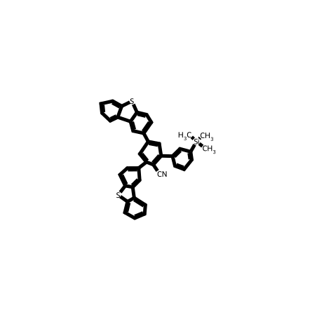 C[Si](C)(C)c1cccc(-c2cc(-c3ccc4sc5ccccc5c4c3)cc(-c3ccc4sc5ccccc5c4c3)c2C#N)c1